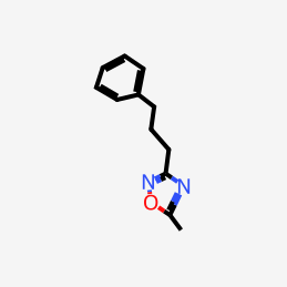 Cc1nc(CCCc2ccccc2)no1